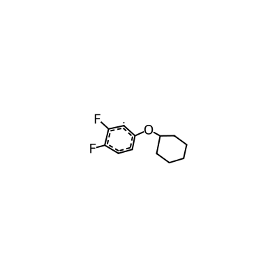 Fc1[c]c(OC2CCCCC2)ccc1F